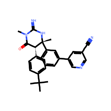 CN1C(=N)N[C@](C)(c2cccc(-c3cncc(C#N)c3)c2)[C@H](c2ccc(C(C)(C)C)cc2)C1=O